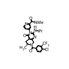 CNC(=O)c1cc(-n2c(NC(C)C)nc3c(c2=O)C[C@@H](C)N(C(=O)c2ccc(Cl)c(C(F)(F)F)c2)C3)ccn1